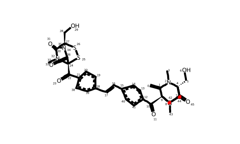 C=C1N(C)[C@@]2(CO)SS[C@]1(C(=O)c1ccc(/C=C/c3ccc(C(=O)[C@@]45SS[C@@](CO)(C(=O)N4C)N(C)C5=O)cc3)cc1)N(C)C2=O